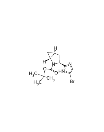 CC(C)(C)OC(=O)N1[C@@H]2C[C@@H]2C[C@H]1c1ncc(Br)[nH]1